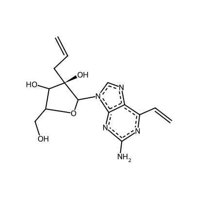 C=CC[C@@]1(O)C(O)C(CO)OC1n1cnc2c(C=C)nc(N)nc21